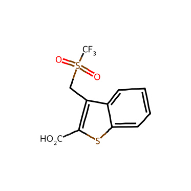 O=C(O)c1sc2ccccc2c1CS(=O)(=O)C(F)(F)F